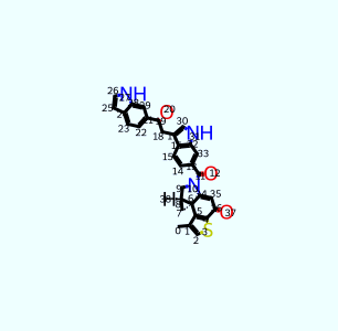 Cc1csc2c1[C@@]13C[C@@H]1CN(C(=O)c1ccc4c(CC(=O)c5ccc6cc[nH]c6c5)c[nH]c4c1)C3=CC2=O